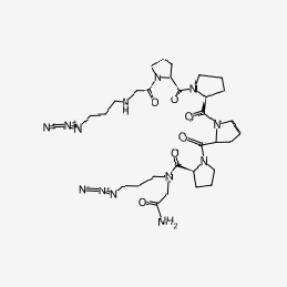 [N-]=[N+]=NCCCNCC(=O)N1CCCC1C(=O)N1CCC[C@H]1C(=O)N1CCCC1C(=O)N1CCC[C@H]1C(=O)N(CCCN=[N+]=[N-])CC(N)=O